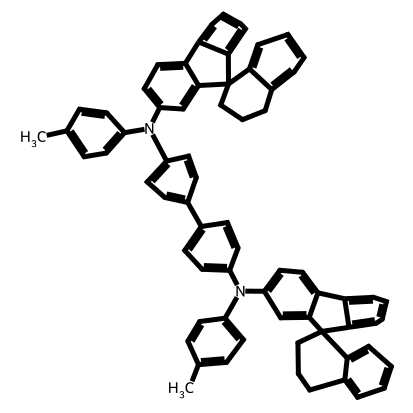 Cc1ccc(N(c2ccc(-c3ccc(N(c4ccc(C)cc4)c4ccc5c(c4)C4(CCCc6ccccc64)c4ccccc4-5)cc3)cc2)c2ccc3c(c2)C2(CCCc4ccccc42)c2ccccc2-3)cc1